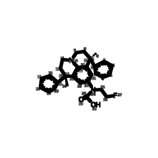 C[C@@]1(c2ccccc2)CCN2CC[C@@](C)(c3ccccc3)c3cc(N(CCF)C(=O)O)cc1c32